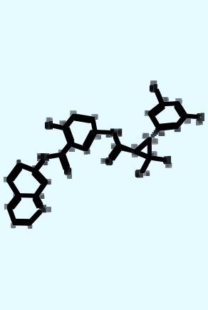 O=C(Nc1ccc2cccnc2c1)c1cc(NC(=O)[C@H]2[C@H](c3cc(Cl)cc(Cl)c3)C2(Cl)Cl)ccc1Cl